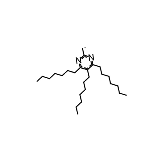 [CH2]c1nc(CCCCCCC)c(CCCCCCC)c(CCCCCCC)n1